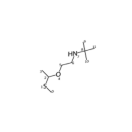 CSC(C)OCCNC(C)(C)C